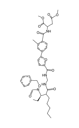 CCCCCC(C(=O)NCNC(=O)c1ccc(-c2ccc(C(=O)NC(CC(=O)OC)C(=O)OC)c(C)c2)o1)[C@@H](CC)N(C=O)OCc1ccccc1